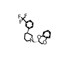 FC(F)(F)c1cccc([C@@H]2CCCN(C[C@H]3COc4ccccc4O3)C2)c1